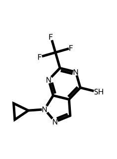 FC(F)(F)c1nc(S)c2cnn(C3CC3)c2n1